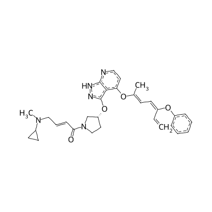 C=C/C(=C\C=C(/C)Oc1ccnc2[nH]nc(O[C@@H]3CCN(C(=O)/C=C/CN(C)C4CC4)C3)c12)Oc1ccccc1